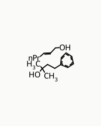 CC(C)(O)CCc1ccccc1.CCC/C=C/CO